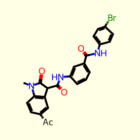 CC(=O)c1ccc2c(c1)C(C(=O)Nc1cccc(C(=O)Nc3ccc(Br)cc3)c1)C(=O)N2C